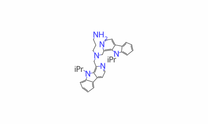 CC(C)n1c2ccccc2c2ccnc(CN(CCCN)Cc3nccc4c5ccccc5n(C(C)C)c34)c21